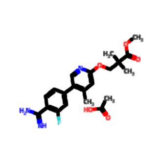 CC(=O)O.COC(=O)C(C)(C)COc1cc(C)c(-c2ccc(C(=N)N)c(F)c2)cn1